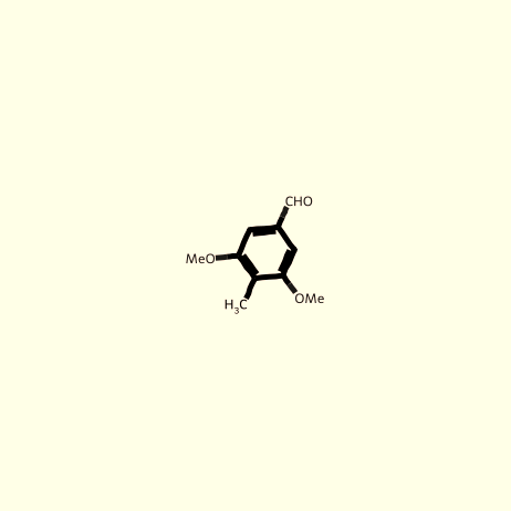 COc1cc(C=O)cc(OC)c1C